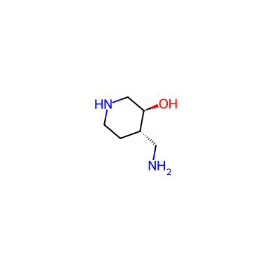 NC[C@@H]1CCNC[C@H]1O